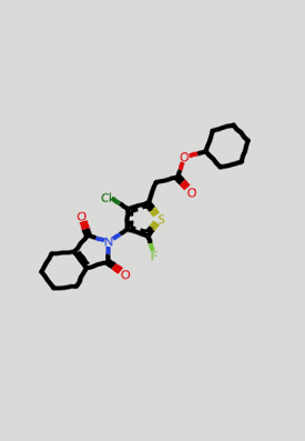 O=C(Cc1sc(F)c(N2C(=O)C3=C(CCCC3)C2=O)c1Cl)OC1CCCCC1